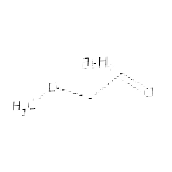 COCC=O.[BaH2]